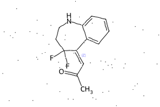 CC(=O)/C=C1/c2ccccc2NCCC1(F)F